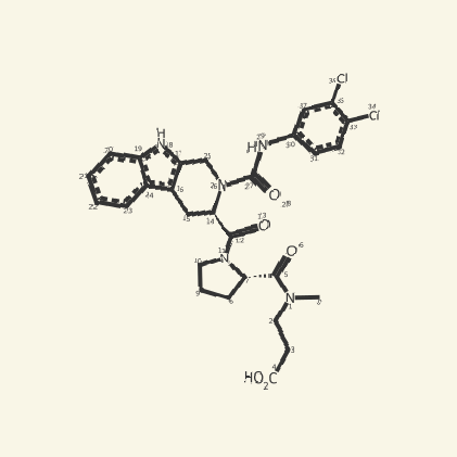 CN(CCC(=O)O)C(=O)[C@@H]1CCCN1C(=O)[C@H]1Cc2c([nH]c3ccccc23)CN1C(=O)Nc1ccc(Cl)c(Cl)c1